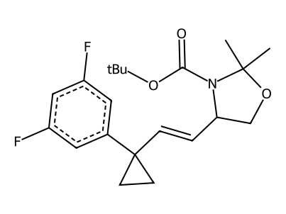 CC(C)(C)OC(=O)N1C(C=CC2(c3cc(F)cc(F)c3)CC2)COC1(C)C